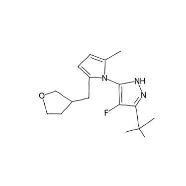 Cc1ccc(CC2CCOC2)n1-c1[nH]nc(C(C)(C)C)c1F